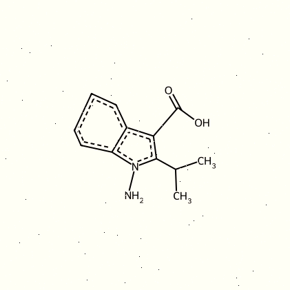 CC(C)c1c(C(=O)O)c2ccccc2n1N